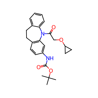 CC(C)(C)OC(=O)Nc1ccc2c(c1)N(C(=O)COC1CC1)c1ccccc1CC2